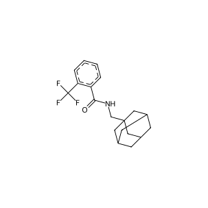 O=C(NCC12CC3CC(CC(C3)C1)C2)c1ccccc1C(F)(F)F